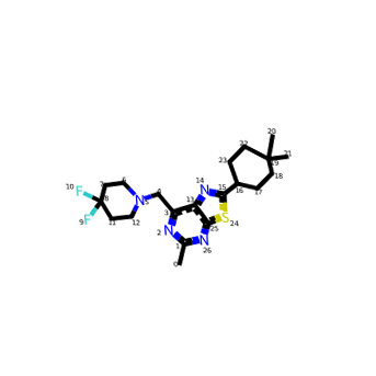 Cc1nc(CN2CCC(F)(F)CC2)c2nc(C3CCC(C)(C)CC3)sc2n1